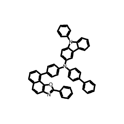 c1ccc(-c2ccc(N(c3ccc(-c4cccc5ccc6nc(-c7ccccc7)oc6c45)cc3)c3ccc4c(c3)c3ccccc3n4-c3ccccc3)cc2)cc1